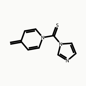 C=C1C=CN(C(=S)n2ccnc2)C=C1